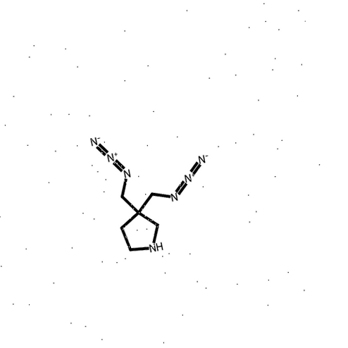 [N-]=[N+]=NCC1(CN=[N+]=[N-])CCNC1